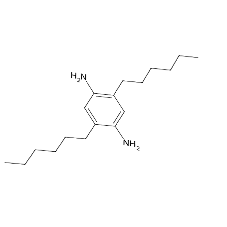 CCCCCCc1cc(N)c(CCCCCC)cc1N